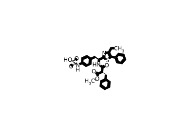 CCc1nc([C@H](Cc2ccc(NS(=O)(=O)O)cc2)NC(=O)[C@H](Cc2ccccc2)C(=O)OC)sc1-c1ccccc1